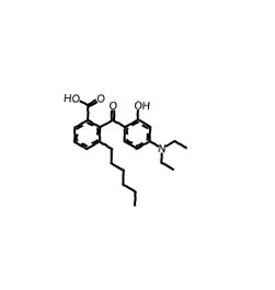 CCCCCCc1cccc(C(=O)O)c1C(=O)c1ccc(N(CC)CC)cc1O